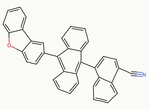 N#Cc1ccc(-c2c3ccccc3c(-c3ccc4oc5ccccc5c4c3)c3ccccc23)c2ccccc12